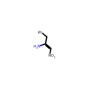 CC(C)CC(N)=C[N+](=O)[O-]